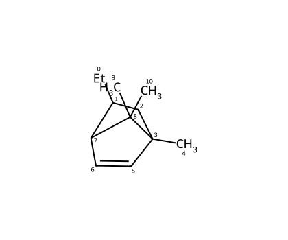 CCC1CC2(C)C=CC1C2(C)C